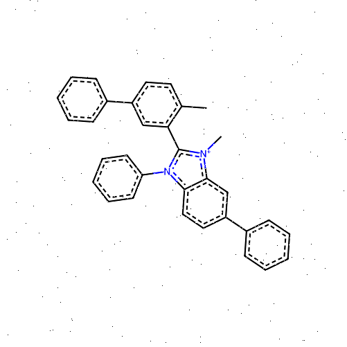 Cc1ccc(-c2ccccc2)cc1-c1n(-c2ccccc2)c2ccc(-c3ccccc3)cc2[n+]1C